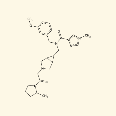 CC1CCCN1C(=O)CN1CC2C(C1)C2CN(Cc1cccc(OC(F)(F)F)c1)C(=O)c1cn(C)cn1